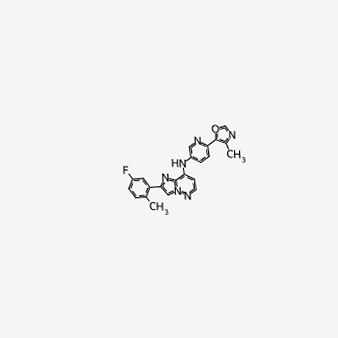 Cc1ccc(F)cc1-c1cn2nccc(Nc3ccc(-c4ocnc4C)nc3)c2n1